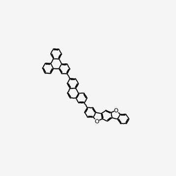 c1ccc2c(c1)oc1cc3c(cc12)oc1ccc(-c2ccc4c(ccc5cc(-c6ccc7c8ccccc8c8ccccc8c7c6)ccc54)c2)cc13